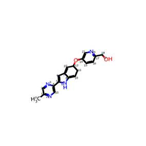 Cc1cnc(-c2cc3c([nH]2)=CCC(Oc2ccc(CO)nc2)C=3)cn1